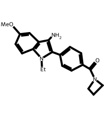 CCn1c(-c2ccc(C(=O)N3CCC3)cc2)c(N)c2cc(OC)ccc21